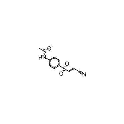 C[S+]([O-])Nc1ccc(S(=O)(=O)C=CC#N)cc1